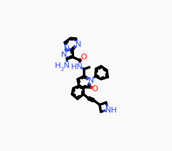 CC(NC(=O)c1c(N)nn2cccnc12)c1cc2cccc(C#CC3CNC3)c2c(=O)n1-c1ccccc1